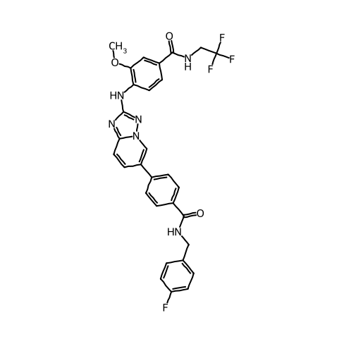 COc1cc(C(=O)NCC(F)(F)F)ccc1Nc1nc2ccc(-c3ccc(C(=O)NCc4ccc(F)cc4)cc3)cn2n1